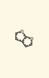 [c]1coc2occc12